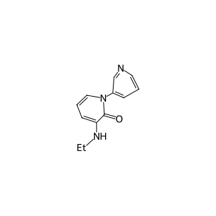 CCNc1cccn(-c2cccnc2)c1=O